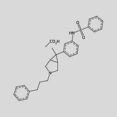 CC(=O)O.CC1(c2cccc(NS(=O)(=O)c3ccccc3)c2)C2CN(CCCc3ccccc3)CC21